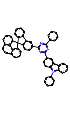 c1ccc(-c2nc(-c3ccc4c(c3)-c3ccccc3C43c4cccc5ccc6cccc3c6c45)nc(-c3ccc4c(c3)c3ccccc3n4-c3ccccc3)n2)cc1